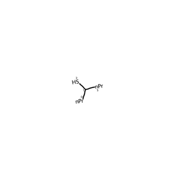 CCCC(S)CCC